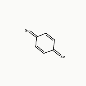 [Se]=C1C=CC(=[Se])C=C1